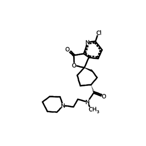 CN(CCN1CCCCC1)C(=O)[C@H]1CC[C@@]2(CC1)OC(=O)c1nc(Cl)ccc12